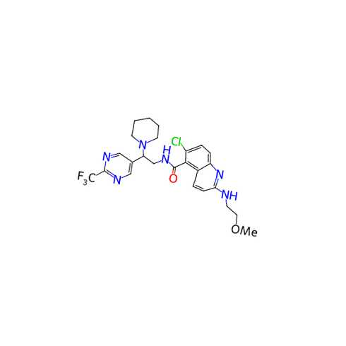 COCCNc1ccc2c(C(=O)NCC(c3cnc(C(F)(F)F)nc3)N3CCCCC3)c(Cl)ccc2n1